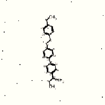 CCc1ccc(CCc2ccc(-c3ccc(C(N)CC)cc3)cc2)cc1